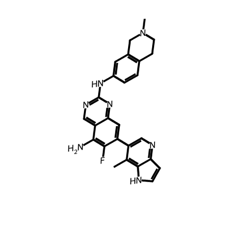 Cc1c(-c2cc3nc(Nc4ccc5c(c4)CN(C)CC5)ncc3c(N)c2F)cnc2cc[nH]c12